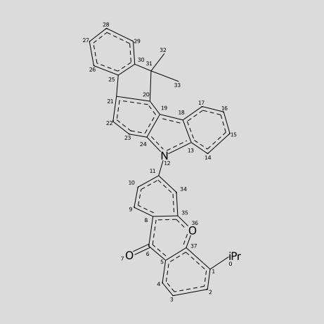 CC(C)c1cccc2c(=O)c3ccc(-n4c5ccccc5c5c6c(ccc54)-c4ccccc4C6(C)C)cc3oc12